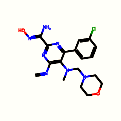 C=Nc1nc(/C(N)=N/O)nc(-c2cccc(Cl)c2)c1N(C)CN1CCOCC1